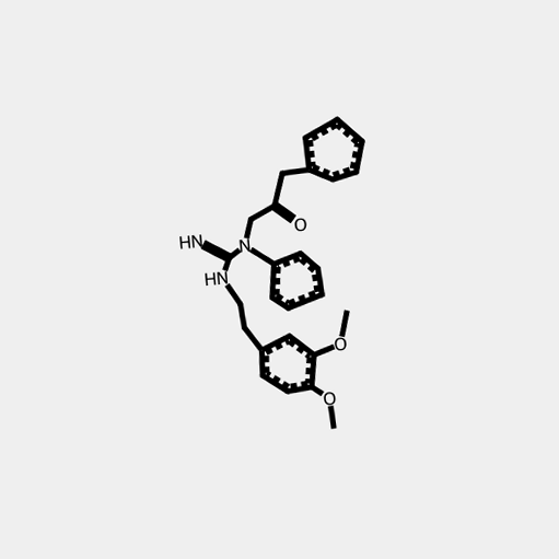 COc1ccc(CCNC(=N)N(CC(=O)Cc2ccccc2)c2ccccc2)cc1OC